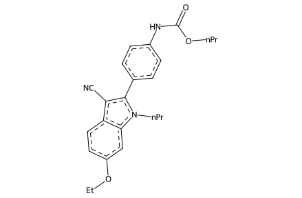 CCCOC(=O)Nc1ccc(-c2c(C#N)c3ccc(OCC)cc3n2CCC)cc1